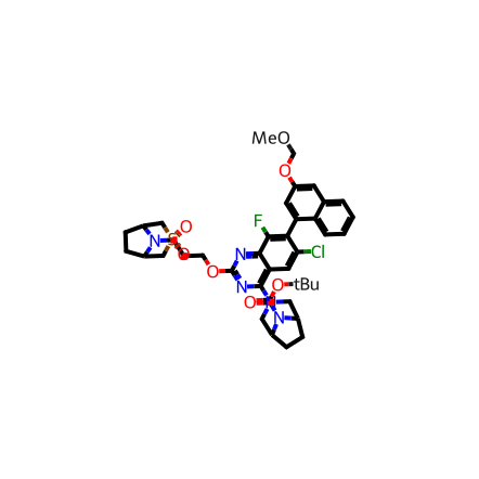 COCOc1cc(-c2c(Cl)cc3c(N4CC5CCC(C4)N5C(=O)OC(C)(C)C)nc(OCCCN4C5CCC4CS(=O)(=O)C5)nc3c2F)c2ccccc2c1